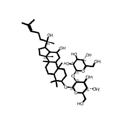 CC(C)=CCC[C@](C)(O)C1CC[C@]2(C)C1C(O)CC1C3(C)CCC(O[C@@H]4OC(CO)[C@@H](O)C(O)[C@@H]4O[C@@H]4OC(CO)[C@@H](O)C(O)[C@@H]4O)C(C)(C)C3CCC12C